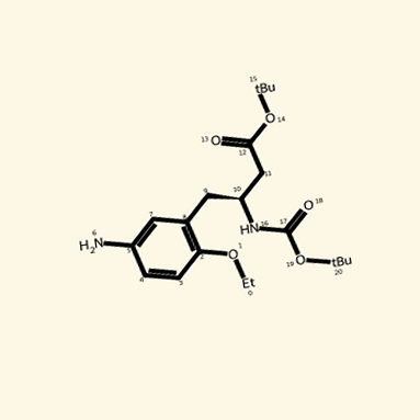 CCOc1ccc(N)cc1C[C@@H](CC(=O)OC(C)(C)C)NC(=O)OC(C)(C)C